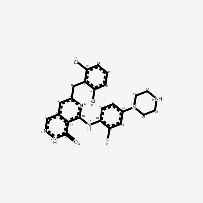 O=c1[nH]ncc2cc(Cc3c(Cl)cccc3Cl)nc(Nc3ccc(N4CCNCC4)cc3F)c12